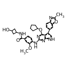 COc1cc(C(=O)NC2CC(O)C2)ccc1Nc1nc(OC2CCCC2)c2c(-c3ccc4nc(C)oc4c3)c[nH]c2n1